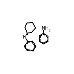 Nc1ccccc1.c1ccc(N=C2CCCCC2)cc1